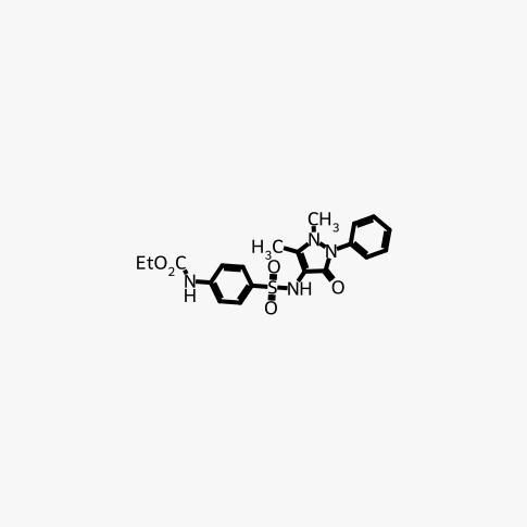 CCOC(=O)Nc1ccc(S(=O)(=O)Nc2c(C)n(C)n(-c3ccccc3)c2=O)cc1